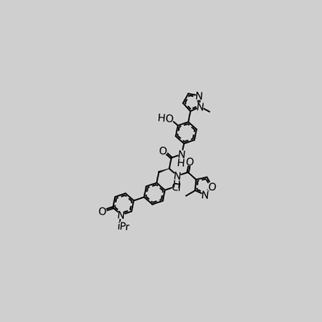 Cc1nocc1C(=O)N[C@@H](Cc1cc(-c2ccc(=O)n(C(C)C)c2)ccc1Cl)C(=O)Nc1ccc(-c2ccnn2C)c(O)c1